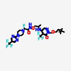 CC(CONC(=O)C(F)N1CCN(c2ncc(C(F)(F)F)cn2)CC1)Nc1cnn(COCC[Si](C)(C)C)c(=O)c1C(F)(F)F